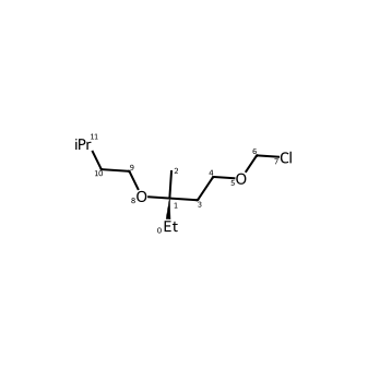 CC[C@@](C)(CCOCCl)OCCC(C)C